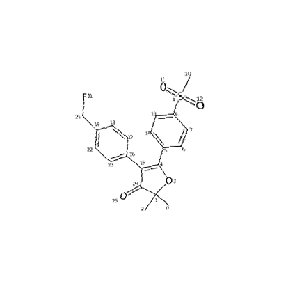 CC1(C)OC(c2ccc(S(C)(=O)=O)cc2)=C(c2ccc(CF)cc2)C1=O